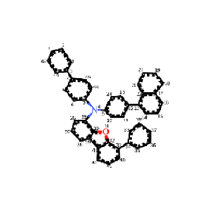 c1ccc(-c2ccc(N(c3ccc(-c4cccc5ccccc45)cc3)c3cccc4c3oc3c(-c5ccccc5)cccc34)cc2)cc1